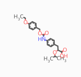 CCOc1ccc(COC(=O)Nc2ccc(CC(OC(C)C)C(=O)O)cc2)cc1